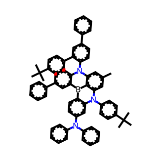 Cc1cc2c3c(c1)N(c1ccc(-c4ccccc4)cc1-c1ccc(C(C)(C)C)cc1)c1ccc(-c4ccccc4)cc1B3c1ccc(N(c3ccccc3)c3ccccc3)cc1N2c1ccc(C(C)(C)C)cc1